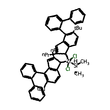 CCCC1=Cc2c(ccc(C(C)(C)C)c2-c2ccccc2-c2ccccc2)[CH]1[Zr]([Cl])([Cl])([CH]1C(CCC)=Cc2c1ccc(C(C)(C)C)c2-c1ccccc1-c1ccccc1)[SiH](C)C